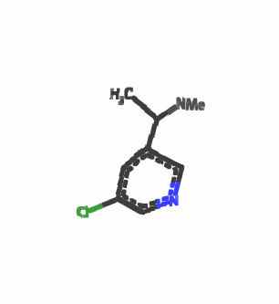 CNC(C)c1cncc(Cl)c1